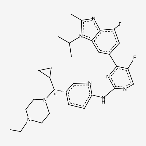 CCN1CCN([C@@H](c2ccc(Nc3ncc(F)c(-c4cc(F)c5nc(C)n(C(C)C)c5c4)n3)nc2)C2CC2)CC1